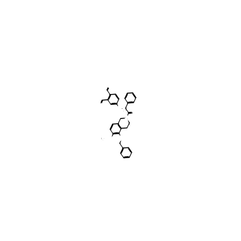 C=Cc1ccc(O[C@H](C(=O)N2Cc3ccc(OC)c(OCc4ccccc4)c3C[C@H]2C(=O)OCC)c2ccccc2)cc1C=C